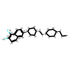 CCC[C@H]1CC[C@H](CC[C@H]2CC[C@H](c3ccc4c(F)c(F)ccc4c3)CC2)CC1